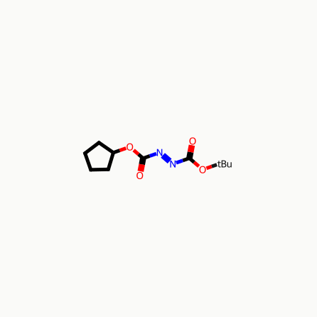 CC(C)(C)OC(=O)/N=N/C(=O)OC1CCCC1